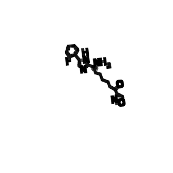 N[C@@H](CCCCCC(=O)c1cocn1)c1ncc(-c2ccccc2F)[nH]1